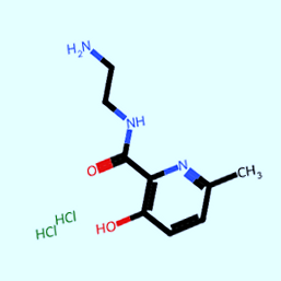 Cc1ccc(O)c(C(=O)NCCN)n1.Cl.Cl